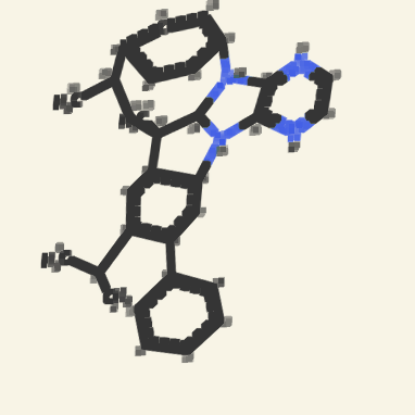 CC(C)c1cc2c(cc1-c1ccccc1)N1c3nccnc3N3c4ccc(cc4)C(C)CC2(C)C31